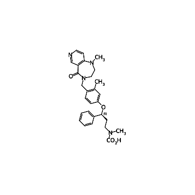 Cc1cc(O[C@@H](CCN(C)C(=O)O)c2ccccc2)ccc1CN1CCN(C)c2ccncc2C1=O